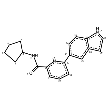 O=C(NC1CCCC1)c1cccc(-c2ccc3[nH]ccc3c2)n1